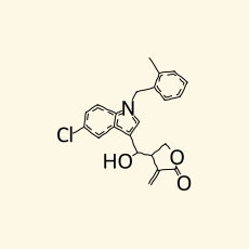 C=C1C(=O)OCC1C(O)c1cn(Cc2ccccc2C)c2ccc(Cl)cc12